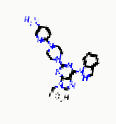 Nc1ccc(N2CCN(c3nc(-n4ncc5ccccc54)c4ncn(CC(=O)O)c4n3)CC2)nc1